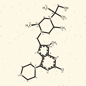 CC1CN(Cc2nc3c(N4CCOCC4)nc(Cl)nc3n2C)[C@@H](C)CN1C(C)(C)CO